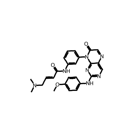 COc1ccc(Nc2ncc3ncc(=O)n(-c4cccc(NC(=O)C=CCN(C)C)c4)c3n2)cc1